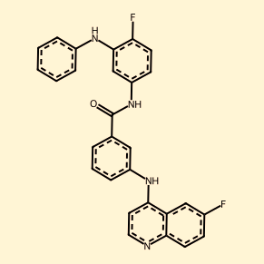 O=C(Nc1ccc(F)c(Nc2ccccc2)c1)c1cccc(Nc2ccnc3ccc(F)cc23)c1